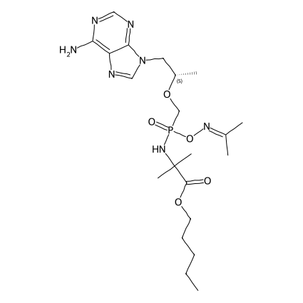 CCCCCOC(=O)C(C)(C)NP(=O)(CO[C@@H](C)Cn1cnc2c(N)ncnc21)ON=C(C)C